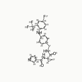 O=C(NC1(C(=O)NCc2ccc(Nc3ccc(F)cc3C(F)(F)F)cc2)CC1)c1cncs1